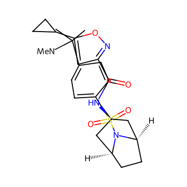 CNC(C)(C)c1ccc(S(=O)(=O)N2[C@@H]3CC[C@H]2C[C@@H](NC(=O)c2cc(C4CC4)on2)C3)cc1